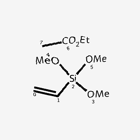 C=C[Si](OC)(OC)OC.CCOC(C)=O